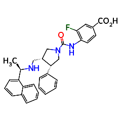 C[C@@H](NC[C@@H]1CN(C(=O)Nc2ccc(C(=O)O)cc2F)C[C@@H]1c1ccccc1)c1cccc2ccccc12